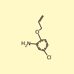 C=CCOc1ccc(Cl)cc1N